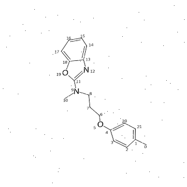 Cc1ccc(OCCCN(C)c2nc3ccccc3o2)cc1